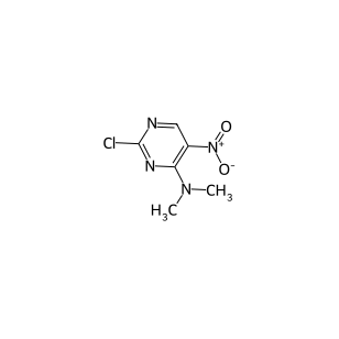 CN(C)c1nc(Cl)ncc1[N+](=O)[O-]